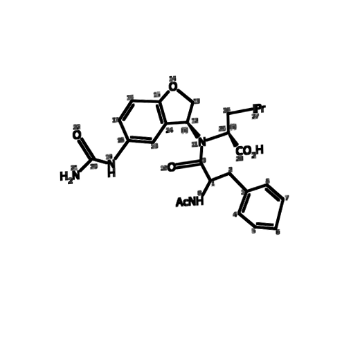 CC(=O)NC(Cc1ccccc1)C(=O)N([C@@H]1COc2ccc(NC(N)=O)cc21)[C@@H](CC(C)C)C(=O)O